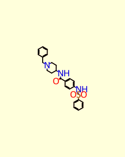 O=C(NC1CCN(Cc2ccccc2)CC1)c1ccc(NS(=O)(=O)c2ccccc2)cc1